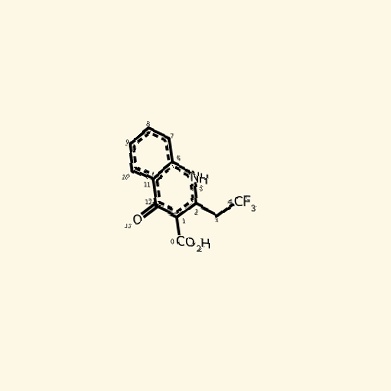 O=C(O)c1c(CC(F)(F)F)[nH]c2ccccc2c1=O